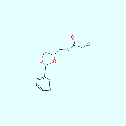 O=C(CCl)NCC1COC(c2ccccc2)O1